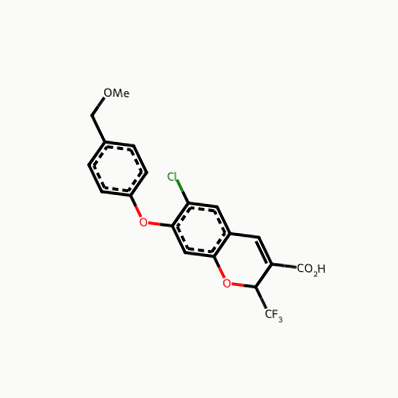 COCc1ccc(Oc2cc3c(cc2Cl)C=C(C(=O)O)C(C(F)(F)F)O3)cc1